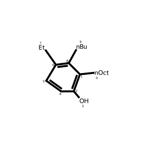 CCCCCCCCc1c(O)ccc(CC)c1CCCC